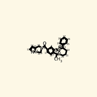 CC(c1ccc(C(=O)N2CCn3nccc3C2)cc1)N1CCCC(c2ccccc2)S1(=O)=O